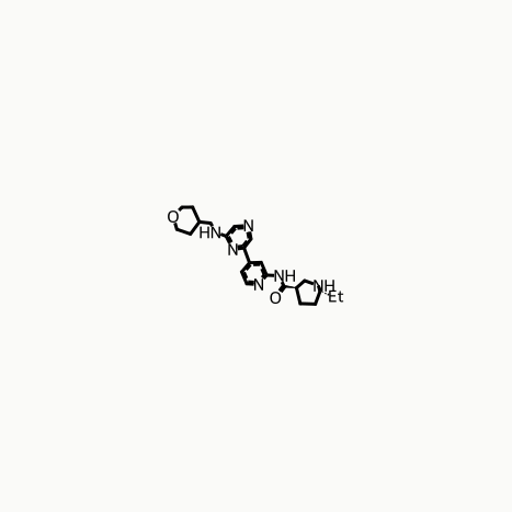 CC[C@@H]1CC[C@@H](C(=O)Nc2cc(-c3cncc(NCC4CCOCC4)n3)ccn2)CN1